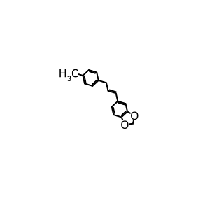 Cc1ccc(C/C=C/c2ccc3c(c2)OCO3)cc1